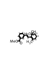 COC(=O)c1cccc(C=CC2=C(C)CCCC2(C)C)c1